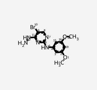 COc1cc(Nc2ncc(Br)c(NN)n2)cc(OC)c1